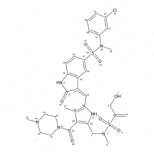 C=C(CO)S(=O)(=O)N(C)Cc1[nH]c(/C=C2\C(=O)Nc3ccc(S(=O)(=O)N(C)c4cccc(Cl)c4)cc32)c(C)c1C(=O)N1CCN(C)CC1